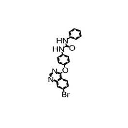 O=C(Nc1ccccc1)Nc1ccc(Oc2ncnc3cc(Br)ccc23)cc1